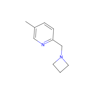 Cc1ccc(CN2CCC2)nc1